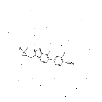 COc1ccc(-c2ccn3c(CC4CC4(F)F)nnc3c2C)cc1F